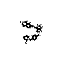 O=c1ccccn1Cc1ccc(Cn2cc3c(NCc4ccc5c(c4)CNCC5)ncnc3n2)cc1